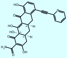 NC(=O)C1=C(O)C[C@@H]2C[C@@H]3Cc4c(C#Cc5ccccn5)ccc(O)c4C(=O)C3=C(O)[C@]2(O)C1=O